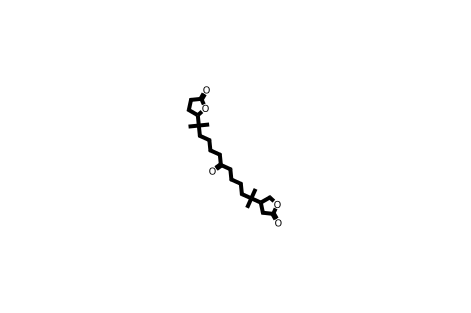 CC(C)(CCCCC(=O)CCCCC(C)(C)C1CCC(=O)O1)C1COC(=O)C1